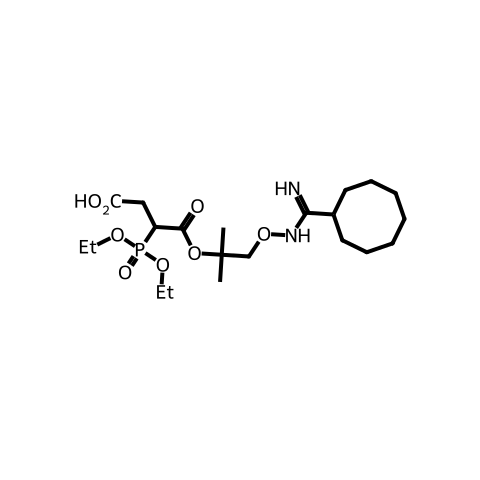 CCOP(=O)(OCC)C(CC(=O)O)C(=O)OC(C)(C)CONC(=N)C1CCCCCCC1